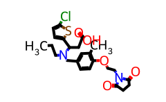 CCCN(Cc1ccc(OCCN2C(=O)CCC2=O)c(C)c1)C(CC(=O)O)c1ccc(Cl)s1